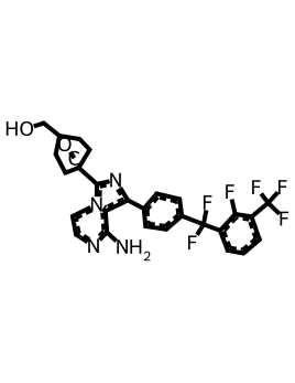 Nc1nccn2c(C34CCC(CO)(CC3)OC4)nc(-c3ccc(C(F)(F)c4cccc(C(F)(F)F)c4F)cc3)c12